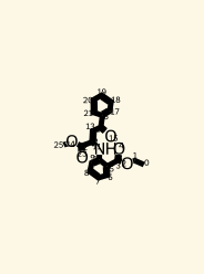 CCOC(=O)c1ccccc1N/C(=C\C(=O)c1ccccc1)C(=O)OC